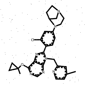 Cc1ccnc(Cn2c(-c3ccc(N4CCN5CCC4C5)cc3Cl)nc3c(OC4(C)CC4)ncnc32)c1